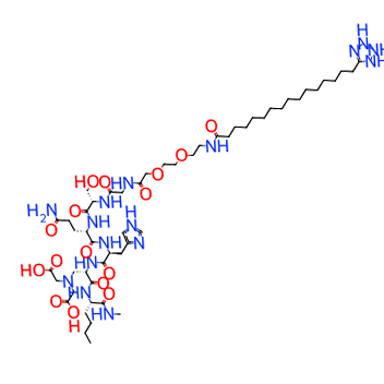 CCCC[C@H](NC(=O)[C@H](CN(CC(=O)O)CC(=O)O)NC(=O)[C@H](Cc1c[nH]cn1)NC(=O)[C@H](CCC(N)=O)NC(=O)[C@H](CO)NC(=O)CNC(=O)COCCOCCNC(=O)CCCCCCCCCCCCCCCC1=NNNN1)C(=O)NC